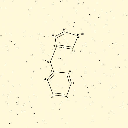 [c]1ccccc1Cc1ccsc1